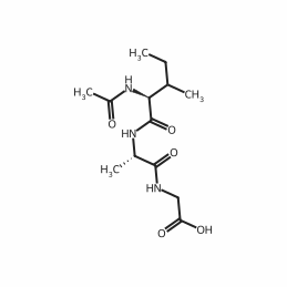 CCC(C)[C@H](NC(C)=O)C(=O)N[C@@H](C)C(=O)NCC(=O)O